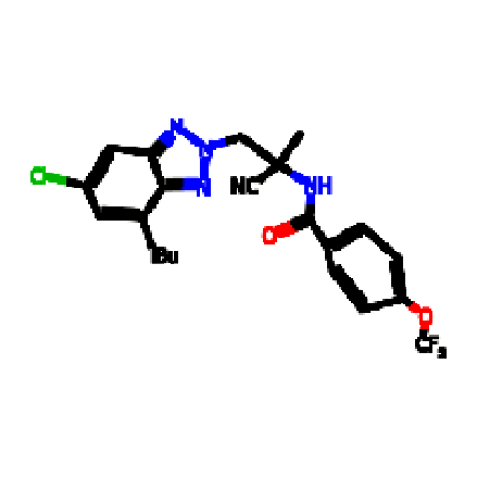 CCC(C)c1cc(Cl)cc2nn(CC(C)(C#N)NC(=O)c3ccc(OC(F)(F)F)cc3)nc12